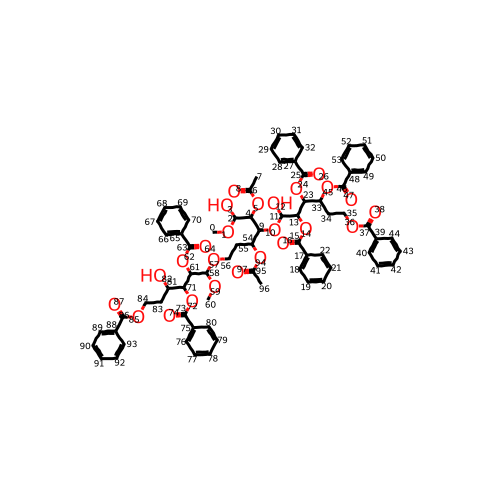 COC(O)C(OC(C)=O)C(OC(O)C(OC(=O)c1ccccc1)C(OC(=O)c1ccccc1)C(CCOC(=O)c1ccccc1)OC(=O)c1ccccc1)C(CCOC(OC)C(OC(=O)c1ccccc1)C(OC(=O)c1ccccc1)C(O)CCOC(=O)c1ccccc1)OC(C)=O